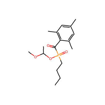 CCCCP(=O)(OC(C)OC)C(=O)c1c(C)cc(C)cc1C